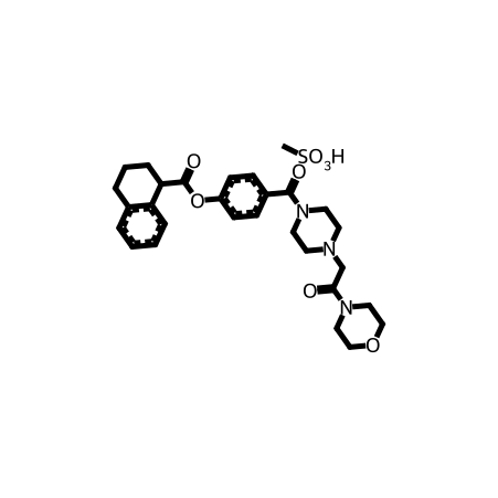 CS(=O)(=O)O.O=C(Oc1ccc(C(=O)N2CCN(CC(=O)N3CCOCC3)CC2)cc1)C1CCCc2ccccc21